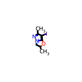 Cc1nn2c(c1I)OC(C)C2